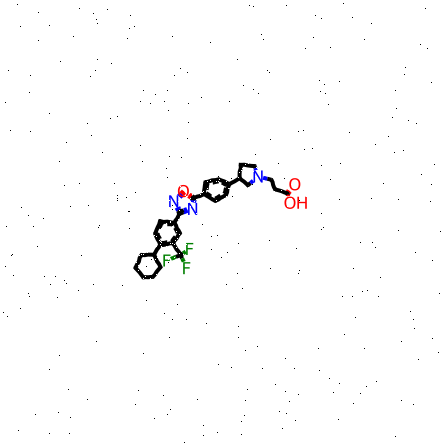 O=C(O)CCN1CCC(c2ccc(-c3nc(-c4ccc(C5CCCCC5)c(C(F)(F)F)c4)no3)cc2)C1